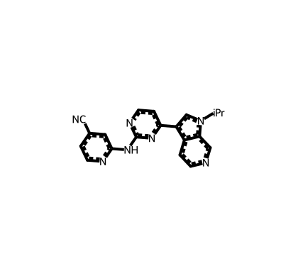 CC(C)n1cc(-c2ccnc(Nc3cc(C#N)ccn3)n2)c2ccncc21